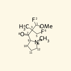 COC(F)C(C)(CF)C(=O)C1CCCN1C